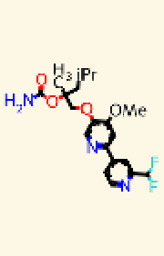 COc1cc(-c2ccnc(C(F)F)c2)ncc1OCC(C)(CC(C)C)OC(N)=O